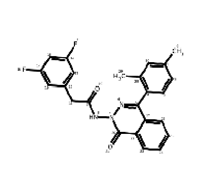 Cc1ccc(-c2nn(NC(=O)Cc3cc(F)cc(F)c3)c(=O)c3ccccc23)c(C)c1